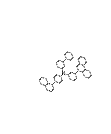 c1ccc(-c2cccc(N(c3ccc(-c4cccc5ccccc45)cc3)c3cccc(-c4cc5ccccc5c5ccccc45)c3)c2)cc1